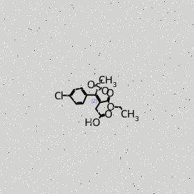 CCOC(=O)/C(CC(=O)O)=C(/c1ccc(Cl)cc1)S(C)(=O)=O